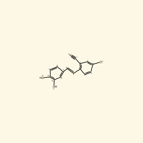 N#Cc1cc(Cl)ccc1C=Cc1ccc(O)c(O)c1